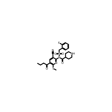 CCCC(=O)c1cc(C#N)c(N(C(=O)C2CCNCC2)S(=O)(=O)Cc2ccccc2F)nc1SC